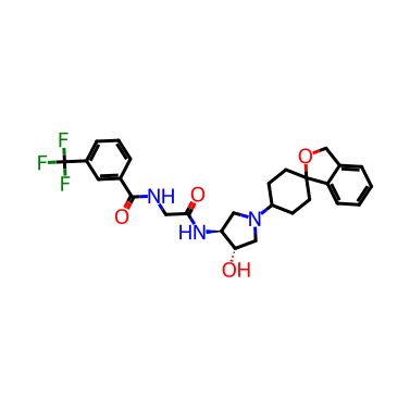 O=C(CNC(=O)c1cccc(C(F)(F)F)c1)N[C@H]1CN(C2CCC3(CC2)OCc2ccccc23)C[C@@H]1O